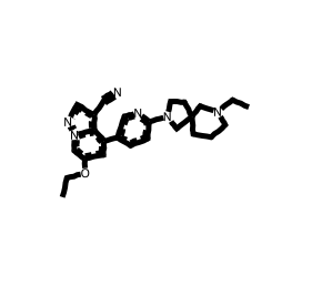 CCOc1cc(-c2ccc(N3CCC4(CCCN(CC)C4)C3)nc2)c2c(C#N)cnn2c1